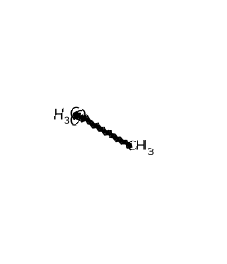 CCC=CCCCCCCCCCCCCCCOC(C)=O